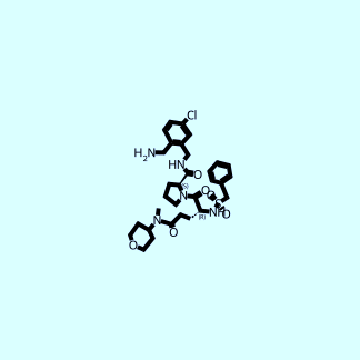 CN(C(=O)CC[C@@H](NS(=O)(=O)Cc1ccccc1)C(=O)N1CCC[C@H]1C(=O)NCc1cc(Cl)ccc1CN)C1CCOCC1